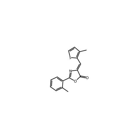 Cc1ccccc1C1=N/C(=C\c2sccc2C)C(=O)O1